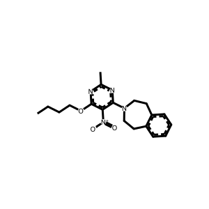 CCCCOc1nc(C)nc(N2CCc3ccccc3CC2)c1[N+](=O)[O-]